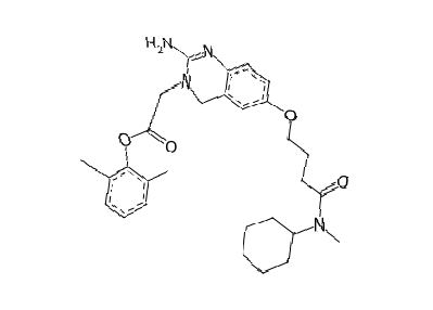 Cc1cccc(C)c1OC(=O)CN1Cc2cc(OCCCC(=O)N(C)C3CCCCC3)ccc2N=C1N